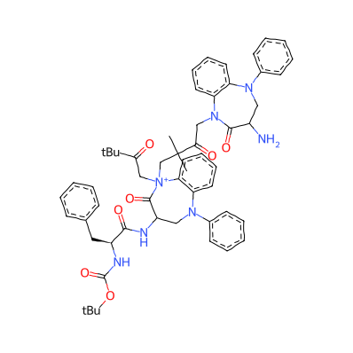 CC(C)(C)OC(=O)N[C@@H](Cc1ccccc1)C(=O)NC1CN(c2ccccc2)c2ccccc2[N+](CC(=O)C(C)(C)C)(CC(C)(C)C(=O)CN2C(=O)C(N)CN(c3ccccc3)c3ccccc32)C1=O